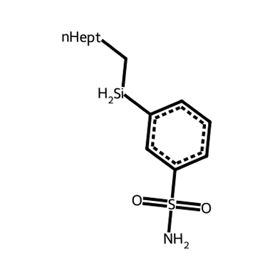 CCCCCCCC[SiH2]c1cccc(S(N)(=O)=O)c1